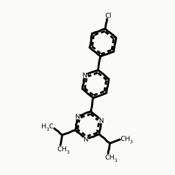 CC(C)c1nc(-c2ccc(-c3ccc(Cl)cc3)nc2)nc(C(C)C)n1